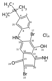 C[N+](C)(C)c1cccc(Nc2cc3c(c(O)c2Br)C(=N)C=C(Br)C3=O)c1.[Cl-]